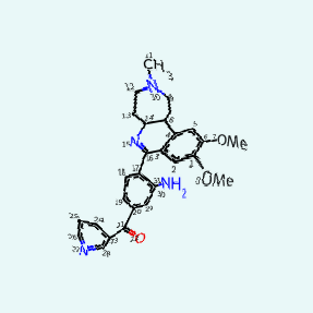 COc1cc2c(cc1OC)C1CN(C)CCC1N=C2c1ccc(C(=O)c2cccnc2)cc1N